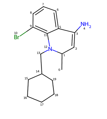 CC1C=C(N)c2cccc(Br)c2N1CC1CCCCC1